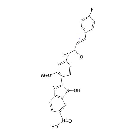 COc1cc(NC(=O)/C=C/c2ccc(F)cc2)ccc1-c1nc2ccc([N+](=O)O)cc2n1O